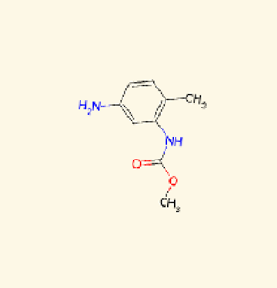 COC(=O)Nc1cc(N)ccc1C